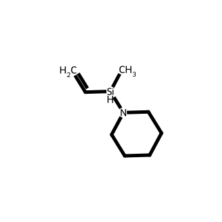 C=C[SiH](C)N1CCCCC1